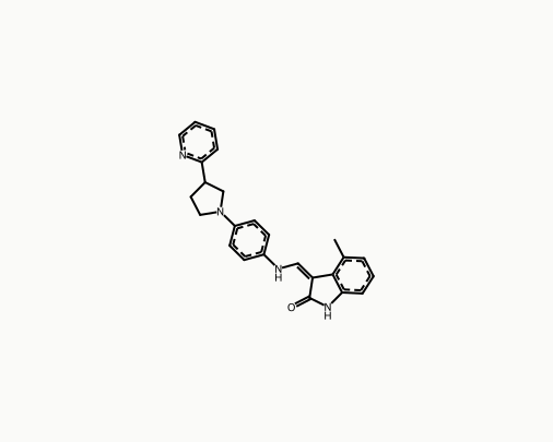 Cc1cccc2c1C(=CNc1ccc(N3CCC(c4ccccn4)C3)cc1)C(=O)N2